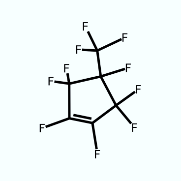 FC1=C(F)C(F)(F)C(F)(C(F)(F)F)C1(F)F